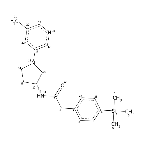 C[Si](C)(C)c1ccc(CC(=O)N[C@@H]2CCN(c3cncc(C(F)(F)F)c3)C2)cc1